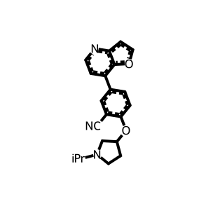 CC(C)N1CCC(Oc2ccc(-c3ccnc4ccoc34)cc2C#N)C1